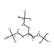 CC(C)(C)O/N=C(\CSC(C)(C)C)CSC(C)(C)I